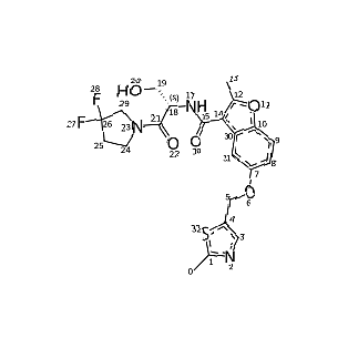 Cc1ncc(COc2ccc3oc(C)c(C(=O)N[C@@H](CO)C(=O)N4CCC(F)(F)C4)c3c2)s1